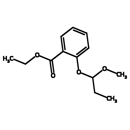 CCOC(=O)c1ccccc1OC(CC)OC